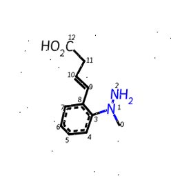 CN(N)c1ccccc1C=CCC(=O)O